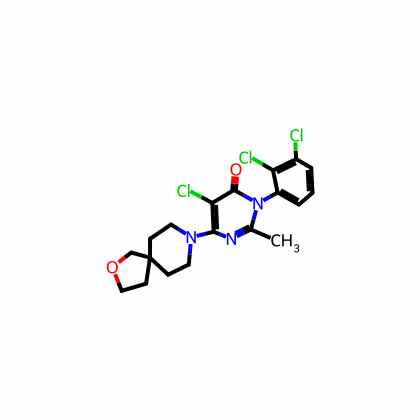 Cc1nc(N2CCC3(CCOC3)CC2)c(Cl)c(=O)n1-c1cccc(Cl)c1Cl